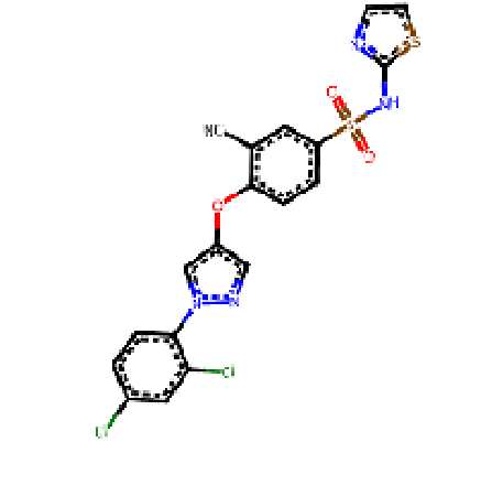 N#Cc1cc(S(=O)(=O)Nc2nccs2)ccc1Oc1cnn(-c2ccc(Cl)cc2Cl)c1